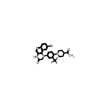 CC(=O)C1CCN(c2ccc(N3CC(=O)Nc4cnc5ccc(Br)cc5c43)cc2C(F)(F)F)CC1